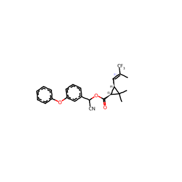 C/C(=C\[C@@H]1[C@H](C(=O)OC(C#N)c2cccc(Oc3ccccc3)c2)C1(C)C)C(F)(F)F